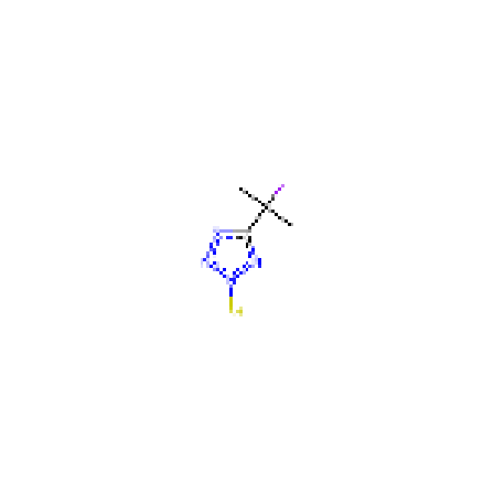 CC(C)(I)c1nnn(S)n1